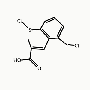 CC(=Cc1c(SCl)cccc1SCl)C(=O)O